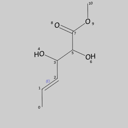 C/C=C/C(O)C(O)C(=O)OC